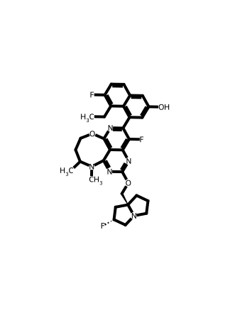 CCc1c(F)ccc2cc(O)cc(-c3nc4c5c(nc(OC[C@@]67CCCN6C[C@H](F)C7)nc5c3F)N(C)C(C)CCO4)c12